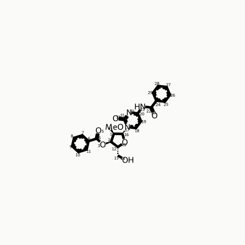 CO[C@@H]1[C@H](OC(=O)c2ccccc2)[C@@H](CO)O[C@H]1n1ccc(NC(=O)c2ccccc2)nc1=O